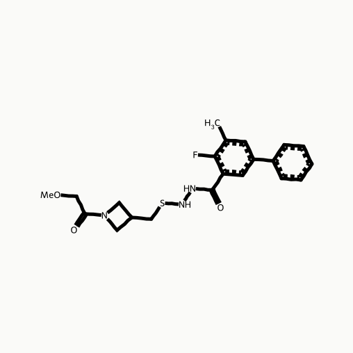 COCC(=O)N1CC(CSNNC(=O)c2cc(-c3ccccc3)cc(C)c2F)C1